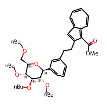 CCCCOC[C@H]1O[C@@H](c2cccc(CCc3cc4cccccc-4c3C(=O)OC)c2)[C@H](OCCCC)[C@@H](OCCCC)[C@@H]1OCCCC